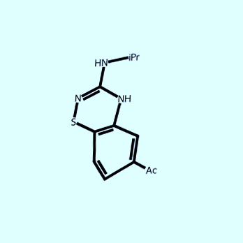 CC(=O)c1ccc2c(c1)NC(NC(C)C)=NS2